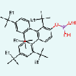 CCC(C)(C)c1ccc(-c2ccc(OP(O)O)c(C(C)(C)CC)c2-c2ccc(C(C)(C)CC)cc2C(C)(C)CC)c(C(C)(C)CC)c1